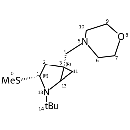 CS[C@@H]1C[C@@]2(CN3CCOCC3)CC2N1C(C)(C)C